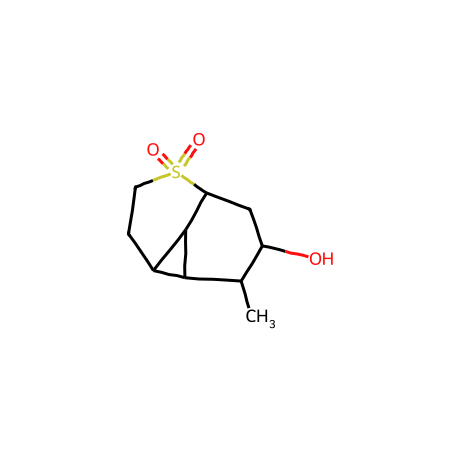 CC1C(O)CC2C3C(CCS2(=O)=O)C13